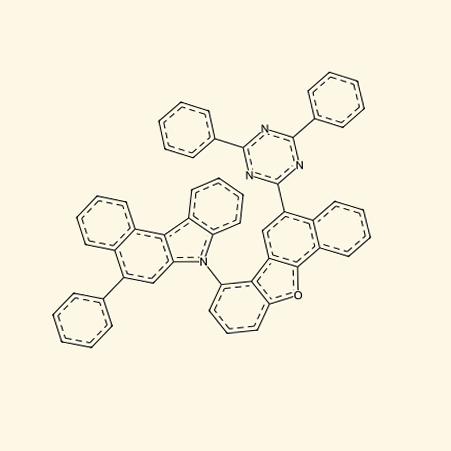 c1ccc(-c2nc(-c3ccccc3)nc(-c3cc4c(oc5cccc(-n6c7ccccc7c7c8ccccc8c(-c8ccccc8)cc76)c54)c4ccccc34)n2)cc1